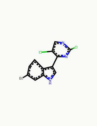 CCc1ccc2c(-c3nc(Cl)ncc3Cl)c[nH]c2c1